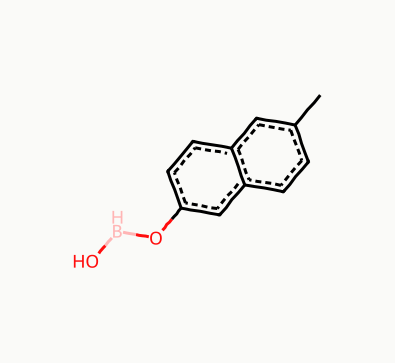 Cc1ccc2cc(OBO)ccc2c1